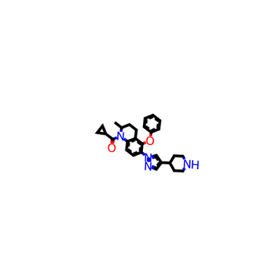 CC1CCc2c(ccc(-n3cc(C4CCNCC4)cn3)c2Oc2ccccc2)N1C(=O)C1CC1